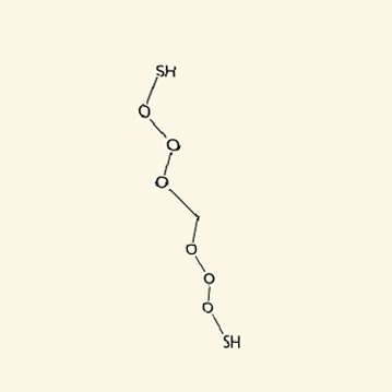 SOOOCOOOS